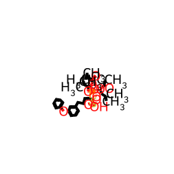 CC(C)C(=O)OC(OP(=O)(OC(OC(=O)C(C)C)C(C)C)C(CCCc1cccc(Oc2ccccc2)c1)S(=O)(=O)O)C(C)C